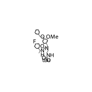 COc1cc(CN(CCNC(=O)OC(C)(C)C)C(=O)NC(C)c2ccc(F)cc2)ccc1OCc1ccccc1